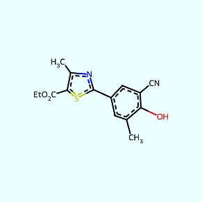 CCOC(=O)c1sc(-c2cc(C)c(O)c(C#N)c2)nc1C